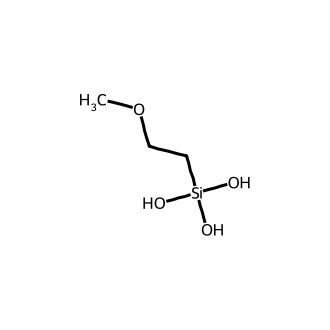 COCC[Si](O)(O)O